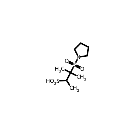 CC(C(C)(C)S(=O)(=O)N1CCCC1)S(=O)(=O)O